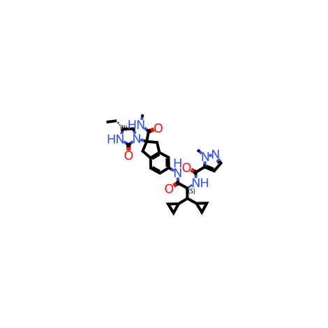 CC[C@@H]1CN(C2(C(=O)NC)Cc3ccc(NC(=O)[C@@H](NC(=O)c4ccnn4C)C(C4CC4)C4CC4)cc3C2)C(=O)N1